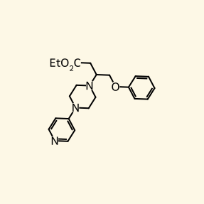 CCOC(=O)CC(COc1ccccc1)N1CCN(c2ccncc2)CC1